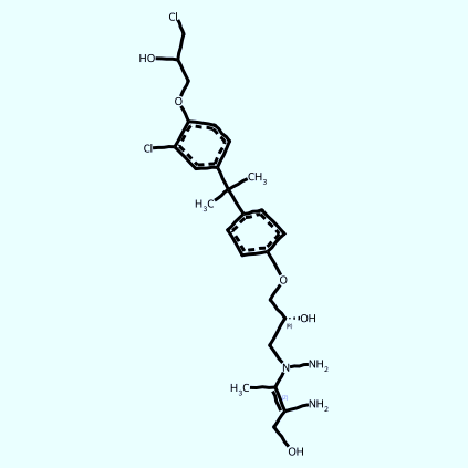 C/C(=C(/N)CO)N(N)C[C@@H](O)COc1ccc(C(C)(C)c2ccc(OCC(O)CCl)c(Cl)c2)cc1